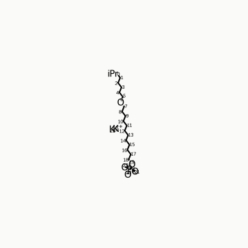 CC(C)CCCCCOCCCCCCCCCCCCOP(=O)([O-])[O-].[K+].[K+]